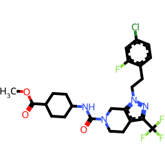 COC(=O)C1CCC(NC(=O)N2CCc3c(C(F)(F)F)nn(CCc4ccc(Cl)cc4F)c3C2)CC1